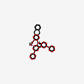 N#Cc1cc2c(cc1-n1c3ccc(-c4ccccc4)cc3c3cc(-c4ccccc4)ccc31)C1c3ccccc3C2c2cc(C#N)c(-n3c4ccc(-c5ccccc5)cc4c4cc(-c5ccccc5)ccc43)cc21